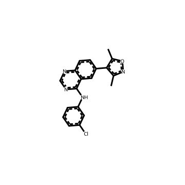 Cc1noc(C)c1-c1ccc2ncnc(Nc3cccc(Cl)c3)c2c1